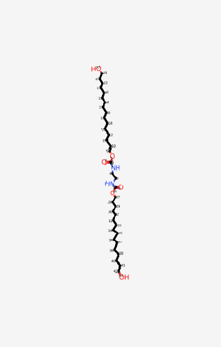 O=C(NCCNC(=O)OCCCCCCCCCCCCCCCCO)OCCCCCCCCCCCCCCCCO